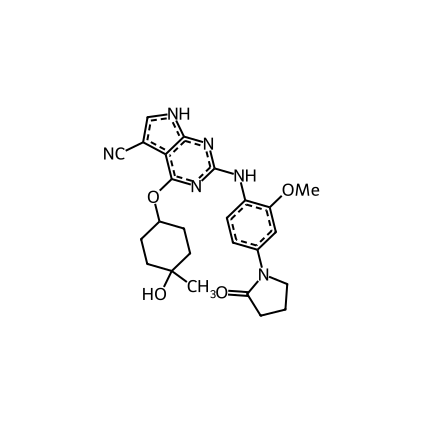 COc1cc(N2CCCC2=O)ccc1Nc1nc(OC2CCC(C)(O)CC2)c2c(C#N)c[nH]c2n1